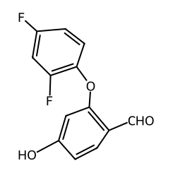 O=Cc1ccc(O)cc1Oc1ccc(F)cc1F